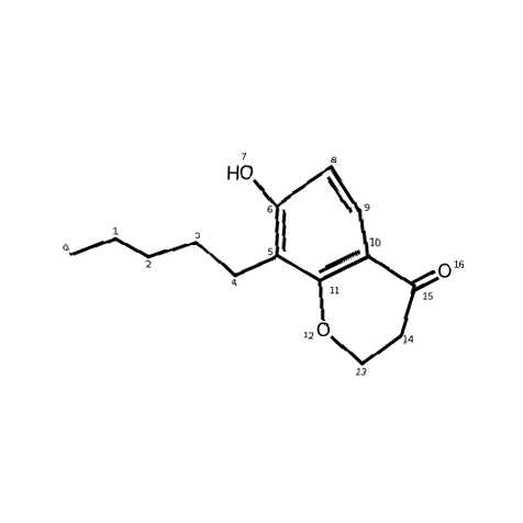 CCCCCc1c(O)ccc2c1OCCC2=O